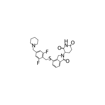 O=C1CCC(N2Cc3c(SCc4c(F)cc(CN5CCCCC5)cc4F)cccc3C2=O)C(=O)N1